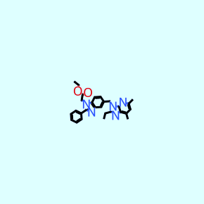 CCOC(=O)Cn1c(-c2ccccc2)nc2cc(Cn3c(CC)nc4c(C)cc(C)nc43)ccc21